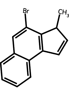 CC1C=Cc2c1c(Br)cc1ccccc21